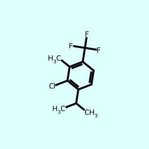 Cc1c(C(F)(F)F)ccc(C(C)C)c1Cl